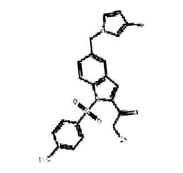 Cc1ccc(S(=O)(=O)n2c(C(=O)CC#N)cc3cc(Cn4ccc(F)c4)ccc32)cc1